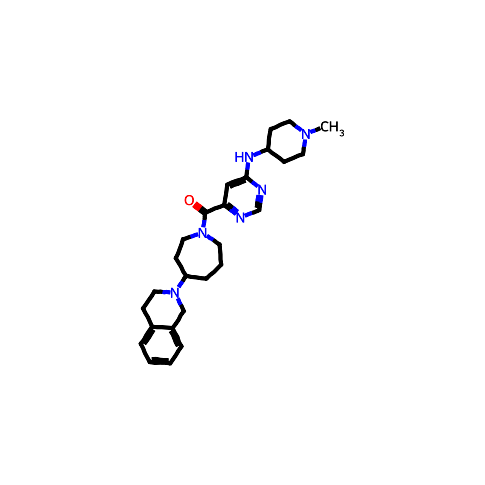 CN1CCC(Nc2cc(C(=O)N3CCCC(N4CCc5ccccc5C4)CC3)ncn2)CC1